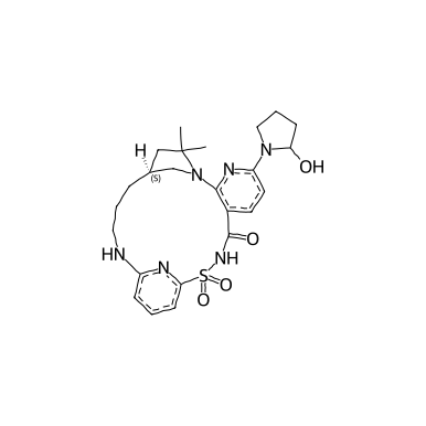 CC1(C)C[C@@H]2CCCNc3cccc(n3)S(=O)(=O)NC(=O)c3ccc(N4CCCC4O)nc3N1C2